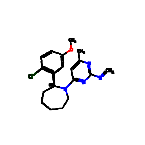 C=Nc1nc(C)cc(N2CCCCC[C@H]2c2cc(OC)ccc2Cl)n1